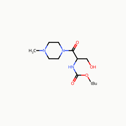 CN1CCN(C(=O)C(CO)NC(=O)OC(C)(C)C)CC1